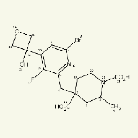 CC1CC(Cc2nc(Br)cc(C3(O)COC3)c2F)(C(=O)O)CCN1C(=O)O